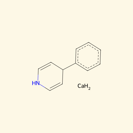 C1=CC(c2ccccc2)C=CN1.[CaH2]